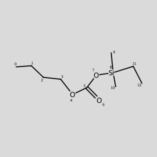 CCCCOC(=O)O[Si](C)(C)CC